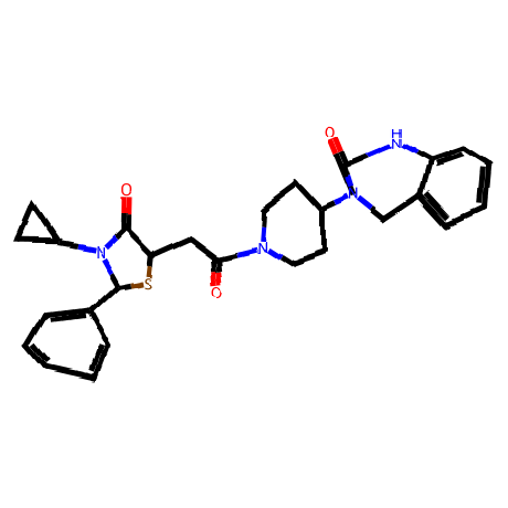 O=C(CC1SC(c2ccccc2)N(C2CC2)C1=O)N1CCC(N2Cc3ccccc3NC2=O)CC1